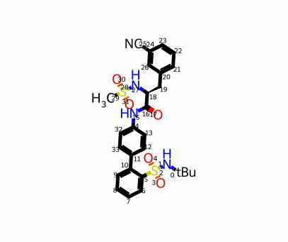 CC(C)(C)NS(=O)(=O)c1ccccc1-c1ccc(NC(=O)[C@H](Cc2cccc(C#N)c2)NS(C)(=O)=O)cc1